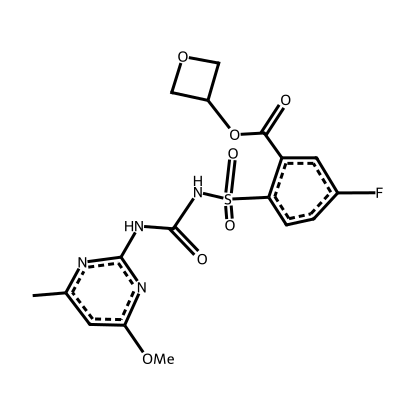 COc1cc(C)nc(NC(=O)NS(=O)(=O)c2ccc(F)cc2C(=O)OC2COC2)n1